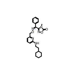 Cn1c(/C(=N\OCc2cccc(NCCC3CCCCC3)n2)c2ccccc2)noc1=O